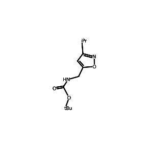 CC(C)c1cc(CNC(=O)OC(C)(C)C)on1